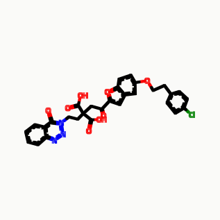 O=C(CC(CCn1nnc2ccccc2c1=O)(C(=O)O)C(=O)O)c1cc2cc(OCCc3ccc(Cl)cc3)ccc2o1